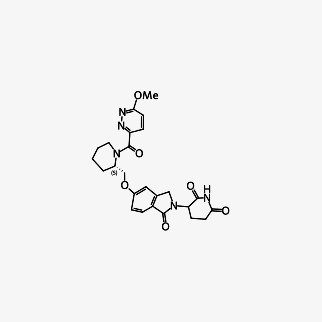 COc1ccc(C(=O)N2CCCC[C@H]2COc2ccc3c(c2)CN(C2CCC(=O)NC2=O)C3=O)nn1